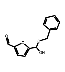 O=Cc1ccc(C(O)OCc2ccccc2)o1